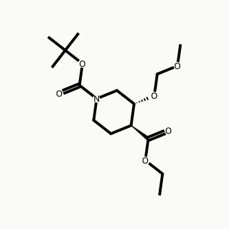 CCOC(=O)[C@H]1CCN(C(=O)OC(C)(C)C)C[C@@H]1OCOC